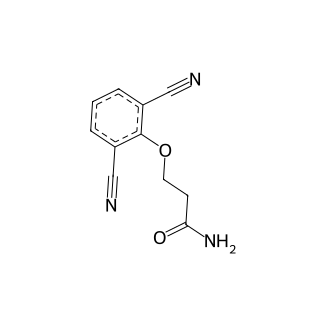 N#Cc1cccc(C#N)c1OCCC(N)=O